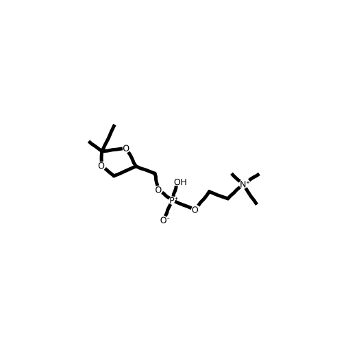 CC1(C)OCC(CO[P+]([O-])(O)OCC[N+](C)(C)C)O1